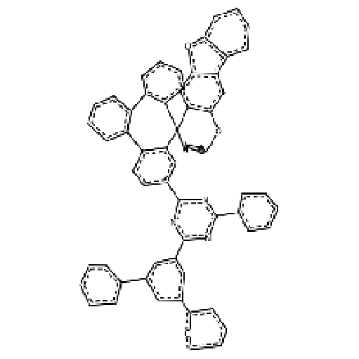 c1ccc(-c2cc(-c3ccccc3)cc(-c3nc(-c4ccccc4)nc(-c4ccc5c(c4)C4(c6ccccc6Oc6cc7c(cc64)oc4ccccc47)c4ccccc4-c4ccccc4-5)n3)c2)cc1